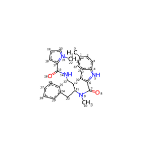 Cc1ccc2[nH]c(C(=O)N(C)C(CCNC(=O)c3cccn3C)Cc3ccccc3)cc2c1